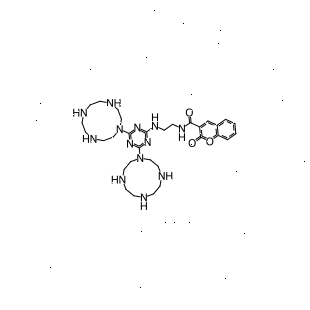 O=C(NCCNc1nc(N2CCNCCNCCNCC2)nc(N2CCNCCNCCNCC2)n1)c1cc2ccccc2oc1=O